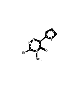 CCc1nnc(-c2cccs2)c(=O)n1N